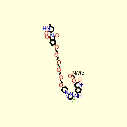 C=C1CCC(N2C(=O)c3ccc(OCCOCCOCCOCCOCCOC4CCN(c5ncc(Cl)c(Nc6ccc7c(c6)cc(OCC(=O)NC)c(=O)n7C)n5)CC4)cc3C2=O)C(=O)N1